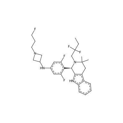 CCC(F)(F)CN1[C@H](c2c(F)cc(NC3CN(CCCF)C3)cc2F)c2[nH]c3ccccc3c2CC1(C)C